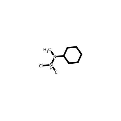 CN(C1CCCCC1)[SiH](Cl)Cl